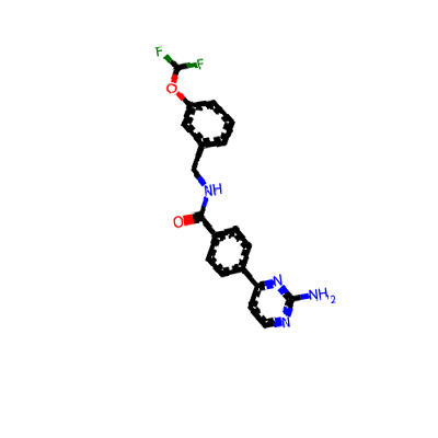 Nc1nccc(-c2ccc(C(=O)NCc3cccc(OC(F)F)c3)cc2)n1